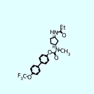 CCC(=O)N[C@H]1CC[C@@H](N(C)C(=O)Oc2ccc(-c3ccc(OC(F)(F)F)cc3)cc2)C1